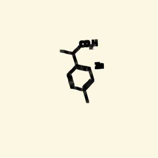 Cc1ccc(C(C)C(=O)O)cc1.[Zn]